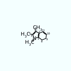 Cc1c2c(n(C)c1C)CCC=C2